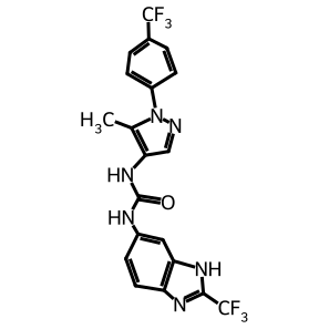 Cc1c(NC(=O)Nc2ccc3nc(C(F)(F)F)[nH]c3c2)cnn1-c1ccc(C(F)(F)F)cc1